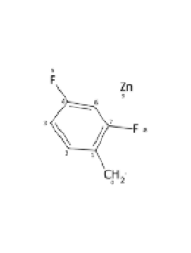 [CH2]c1ccc(F)cc1F.[Zn]